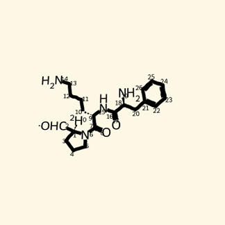 [2H][C@@]1([C]=O)CCCN1C(=O)[C@H](CCCCN)NC(=O)[C@@H](N)Cc1ccccc1